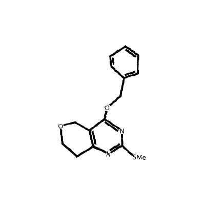 CSc1nc2c(c(OCc3ccccc3)n1)COCC2